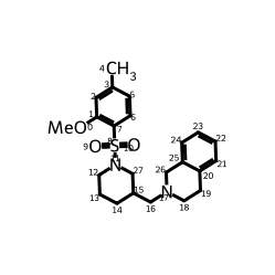 COc1cc(C)ccc1S(=O)(=O)N1CCCC(CN2CCc3ccccc3C2)C1